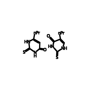 CCCc1c[nH]c(=S)[nH]c1=O.CCCc1cc(=O)[nH]c(=S)[nH]1